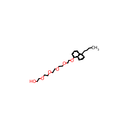 CCCCc1cccc2c(OCCOCCOCCOCCOCCO)cccc12